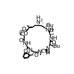 CCC(C)C1NC(=O)CN(C)C(=O)[C@@H](Cc2ccccc2)N(C)C(=O)[C@H](C)NC(=O)[C@@H](CC(C)C)OC(=O)/C(C)=C/C[C@H](N)[C@H](C)[C@@H]([C@@H](C)CC)NC(=O)[C@@H](C)NC1=O